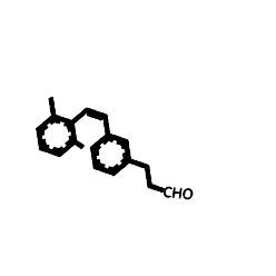 Cc1cccc(C)c1/C=C\c1cccc(CCC=O)c1